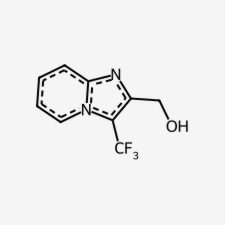 OCc1nc2ccccn2c1C(F)(F)F